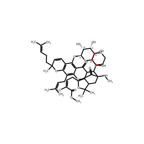 CNC12CC3C(C)(C)OC(C/C=C(/C)C(=O)OC)(C1=O)C31Oc3c(CC=C(C)C)c4c(c(O[C@@H]5O[C@H](CO)[C@@H](O)[C@@H](O)[C@H]5O)c3C(=O)C1C2N1CCOCC1)C=CC(C)(CCC=C(C)C)O4